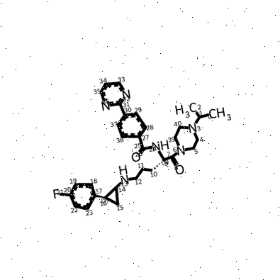 CC(C)N1CCN(C(=O)[C@H](CCCNC2C[C@H]2c2ccc(F)cc2)NC(=O)c2ccc(-c3ncccn3)cc2)CC1